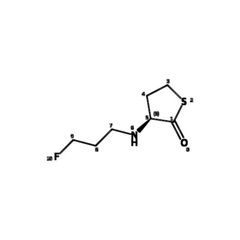 O=C1SCC[C@@H]1NCCCF